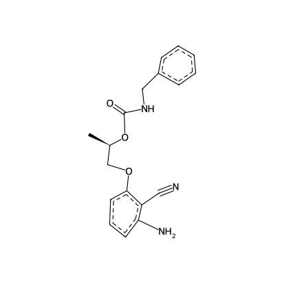 C[C@H](COc1cccc(N)c1C#N)OC(=O)NCc1ccccc1